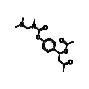 CC(=O)CC(OC(C)=O)c1ccc(OC(=O)N(C)CN(C)C)cc1